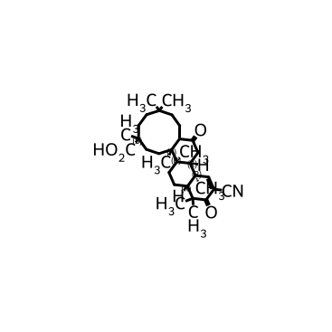 CC1(C)CCC2C(=O)C[C@@H]3[C@@]4(C)C=C(C#N)C(=O)C(C)(C)[C@@H]4CC[C@@]3(C)[C@]2(C)CC[C@@](C)(C(=O)O)CC1